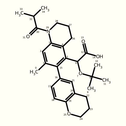 Cc1cc2c(c(C(OC(C)(C)C)C(=O)O)c1-c1ccc3c(c1)CCCO3)CCCN2C(=O)C(C)C